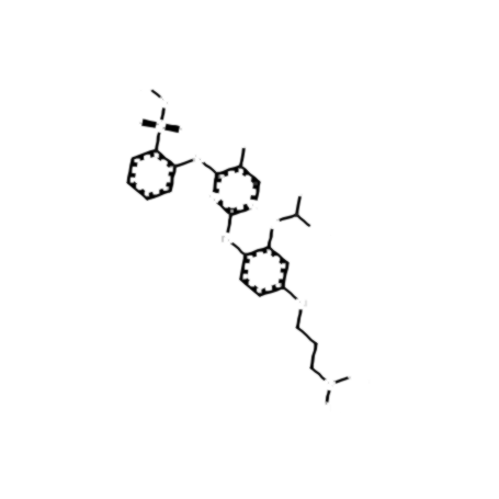 CNS(=O)(=O)c1ccccc1Nc1nc(Nc2ccc(NCCCN(C)C)cc2OC(C)C)ncc1C